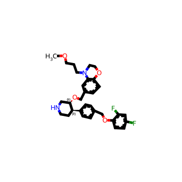 COCCCN1CCOc2ccc(CO[C@H]3CNCC[C@@H]3c3ccc(COc4ccc(F)cc4F)cc3)cc21